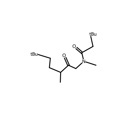 CC(CCC(C)(C)C)C(=O)CN(C)C(=O)CC(C)(C)C